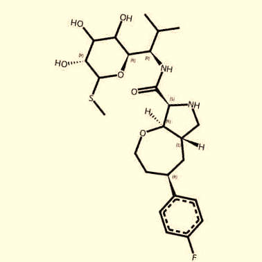 CSC1O[C@H]([C@H](NC(=O)[C@H]2NC[C@@H]3C[C@@H](c4ccc(F)cc4)CCO[C@H]32)C(C)C)C(O)C(O)[C@H]1O